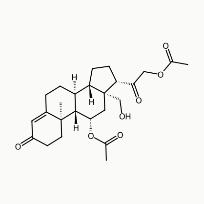 CC(=O)OCC(=O)[C@H]1CC[C@H]2[C@@H]3CCC4=CC(=O)CC[C@]4(C)[C@H]3[C@@H](OC(C)=O)C[C@]12CO